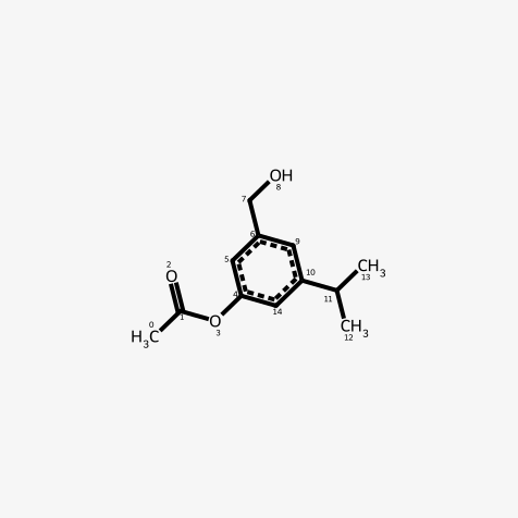 CC(=O)Oc1cc(CO)cc(C(C)C)c1